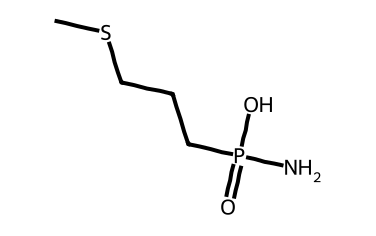 CSCCCP(N)(=O)O